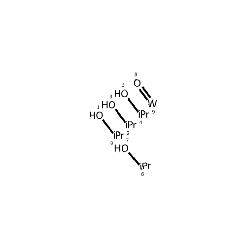 CC(C)O.CC(C)O.CC(C)O.CC(C)O.[O]=[W]